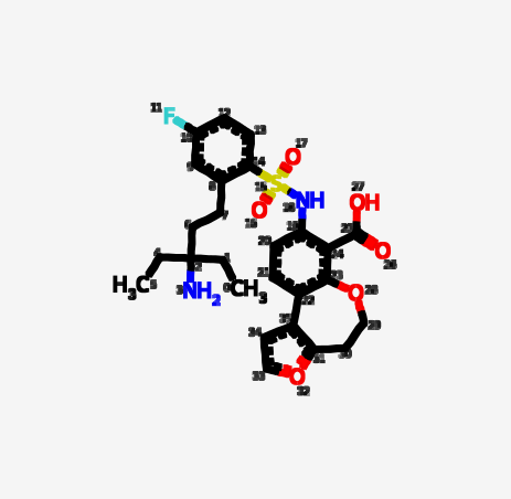 CCC(N)(CC)CCc1cc(F)ccc1S(=O)(=O)Nc1ccc2c(c1C(=O)O)OCCc1occc1-2